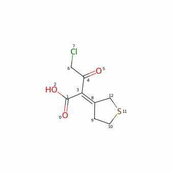 O=C(O)C(C(=O)CCl)=C1CCSC1